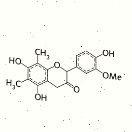 COc1cc(C2Oc3c(C)c(O)c(C)c(O)c3CC2=O)ccc1O